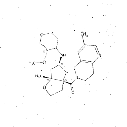 CO[C@@H]1COCCC1N[C@H]1C[C@]2(C(=O)N3CCc4ncc(C)cc4C3)CCO[C@]2(C)C1